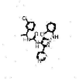 CC(NC(=O)Nc1cn(Nc2ccccc2Cl)nc1-c1ccncn1)c1cccc(Cl)c1